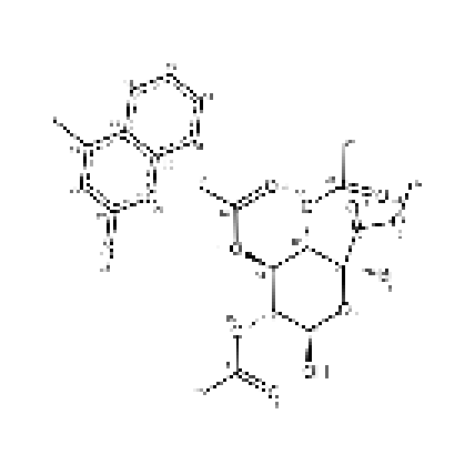 COC(=O)[C@@]1(Br)O[C@@H](O)[C@H](OC(C)=O)[C@@H](OC(C)=O)[C@@H]1OC(C)=O.Cc1cc(=O)oc2ccccc12